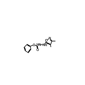 Cc1noc(NNC(=O)Oc2ccccc2)c1C